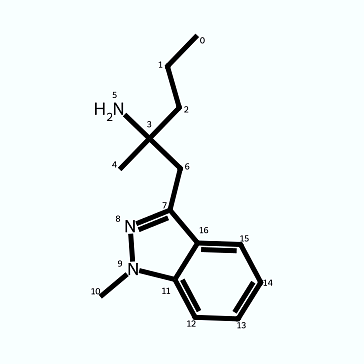 CCCC(C)(N)Cc1nn(C)c2ccccc12